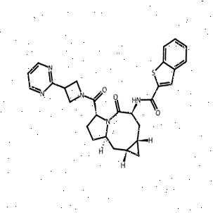 O=C(N[C@H]1C[C@@H]2C[C@@H]2C[C@H]2CC[C@@H](C(=O)N3CC(c4ncccn4)C3)N2C1=O)c1cc2ccccc2s1